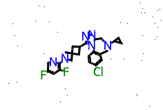 Fc1cnc(N2CC3(CC(c4nnc5n4-c4ccc(Cl)cc4CN(C4CC4)C5)C3)C2)c(F)c1